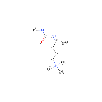 CC(C)NC(=O)N[C@@H](CCC[N+](C)(C)C)C(=O)O